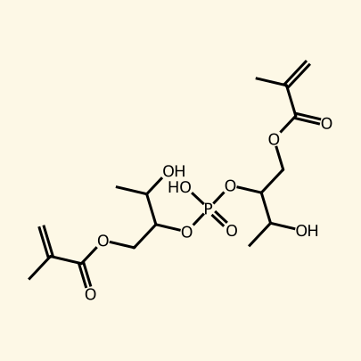 C=C(C)C(=O)OCC(OP(=O)(O)OC(COC(=O)C(=C)C)C(C)O)C(C)O